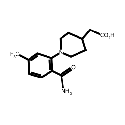 NC(=O)c1ccc(C(F)(F)F)cc1N1CCC(CC(=O)O)CC1